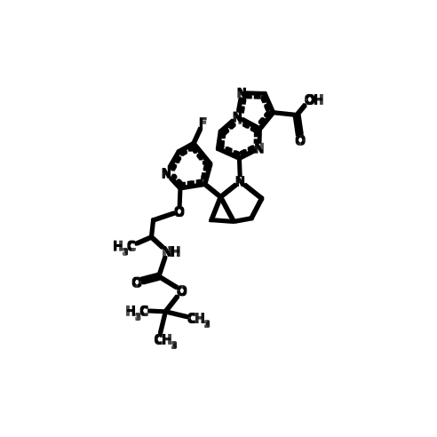 CC(COc1ncc(F)cc1C12CC1CCN2c1ccn2ncc(C(=O)O)c2n1)NC(=O)OC(C)(C)C